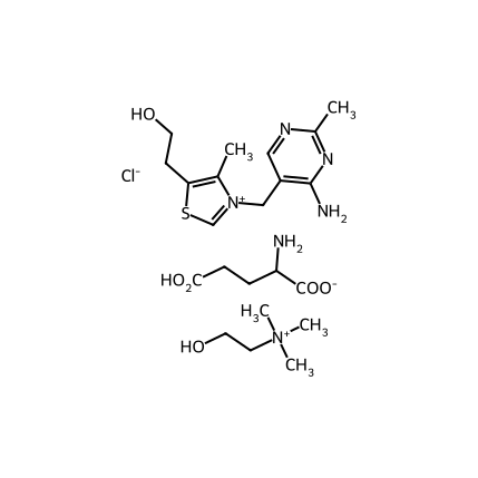 C[N+](C)(C)CCO.Cc1ncc(C[n+]2csc(CCO)c2C)c(N)n1.NC(CCC(=O)O)C(=O)[O-].[Cl-]